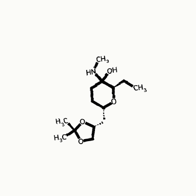 CC[C@H]1O[C@H](C[C@@H]2COC(C)(C)O2)CCC1(O)NC